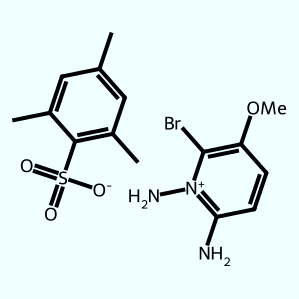 COc1ccc(N)[n+](N)c1Br.Cc1cc(C)c(S(=O)(=O)[O-])c(C)c1